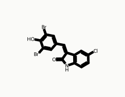 O=C1Nc2ccc(Cl)cc2C1=Cc1cc(Br)c(O)c(Br)c1